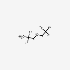 [CH2]C(F)(F)COCC(F)(F)F